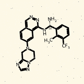 Cc1c([C@@H](N)Nc2nncc3ccc(N4CCn5ncnc5C4)cc23)cccc1C(F)(F)F